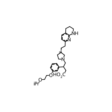 CC(C)OCCOc1cccc(C(CC(=O)O)CN2CC[C@@H](CCc3ccc4c(n3)NCCC4)C2)c1